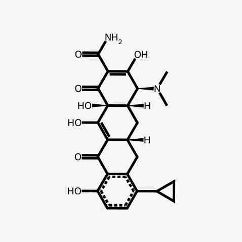 CN(C)[C@@H]1C(O)=C(C(N)=O)C(=O)[C@@]2(O)C(O)=C3C(=O)c4c(O)ccc(C5CC5)c4C[C@H]3C[C@@H]12